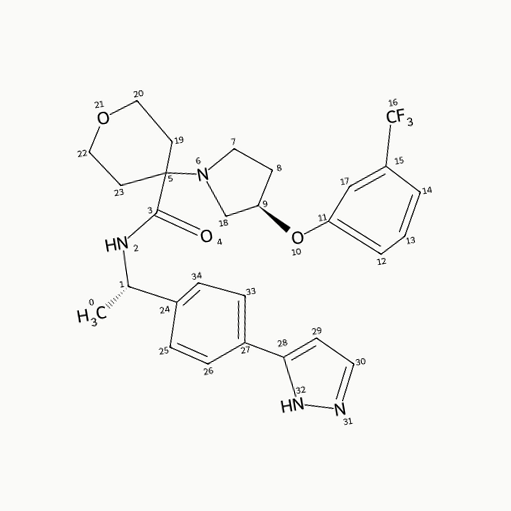 C[C@H](NC(=O)C1(N2CC[C@@H](Oc3cccc(C(F)(F)F)c3)C2)CCOCC1)c1ccc(-c2ccn[nH]2)cc1